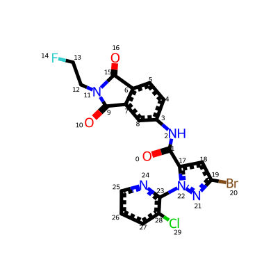 O=C(Nc1ccc2c(c1)C(=O)N(CCF)C2=O)c1cc(Br)nn1-c1ncccc1Cl